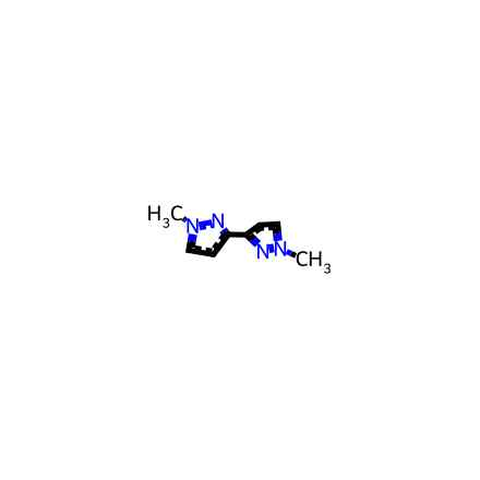 Cn1ccc(-c2ccn(C)n2)n1